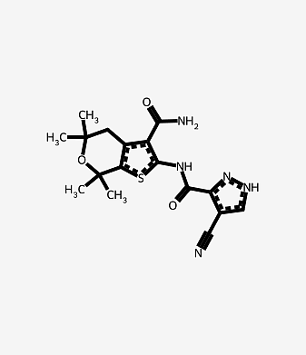 CC1(C)Cc2c(sc(NC(=O)c3n[nH]cc3C#N)c2C(N)=O)C(C)(C)O1